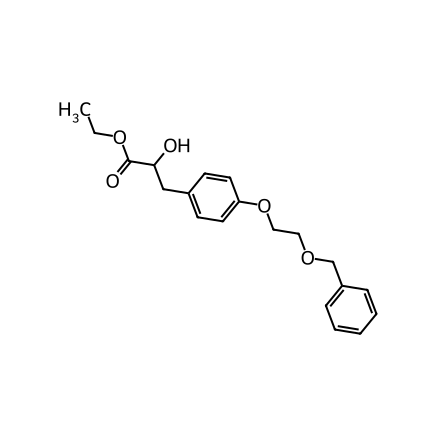 CCOC(=O)C(O)Cc1ccc(OCCOCc2ccccc2)cc1